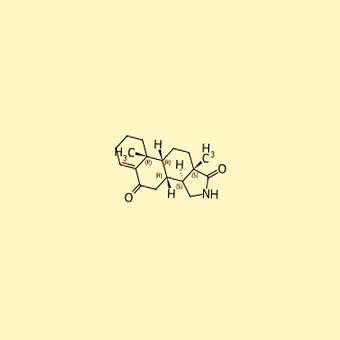 C[C@]12CCCC=C1C(=O)C[C@@H]1[C@H]2CC[C@]2(C)C(=O)NC[C@@H]12